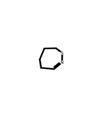 C1=NSCCCC1